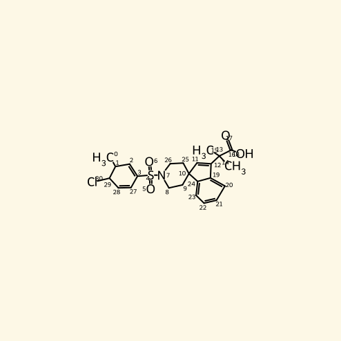 CC1C=C(S(=O)(=O)N2CCC3(C=C(C(C)(C)C(=O)O)c4ccccc43)CC2)C=CC1Cl